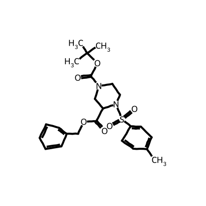 Cc1ccc(S(=O)(=O)N2CCN(C(=O)OC(C)(C)C)CC2C(=O)OCc2ccccc2)cc1